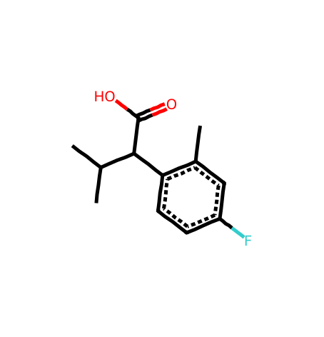 Cc1cc(F)ccc1C(C(=O)O)C(C)C